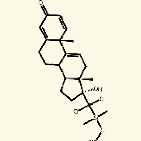 C[C@]12C=CC(=O)C=C1CCC1C2=CC[C@@]2(C)C1CC[C@]2(O)C(Cl)(Cl)[Si](C)(C)OC#N